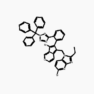 CCc1nc2nc(Br)ccc2n1Cc1c2ccocc-2c(Br)c1-c1ccccc1-c1nnn(C(c2ccccc2)(c2ccccc2)c2ccccc2)n1